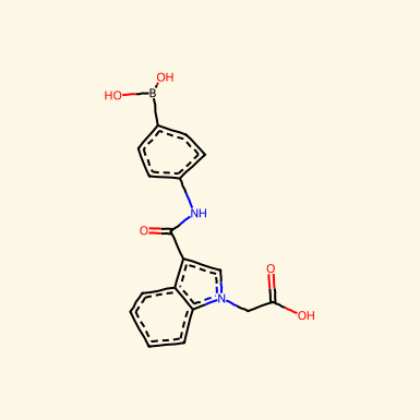 O=C(O)Cn1cc(C(=O)Nc2ccc(B(O)O)cc2)c2ccccc21